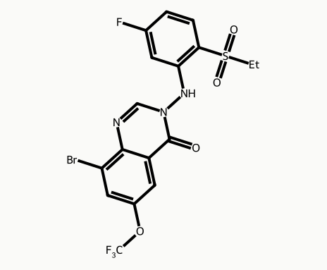 CCS(=O)(=O)c1ccc(F)cc1Nn1cnc2c(Br)cc(OC(F)(F)F)cc2c1=O